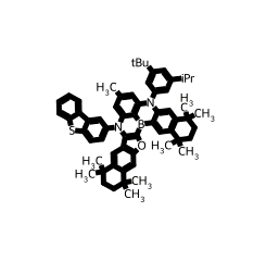 Cc1cc2c3c(c1)N(c1ccc4sc5ccccc5c4c1)c1c(oc4cc5c(cc14)C(C)(C)CCC5(C)C)B3c1cc3c(cc1N2c1cc(C(C)C)cc(C(C)(C)C)c1)C(C)(C)CCC3(C)C